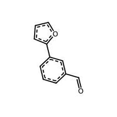 O=Cc1cccc(-c2ccco2)c1